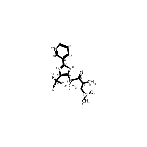 CC(C[S+](C)[O-])C(=O)N(C)c1sc(-c2cccnc2)nc1C(F)(F)F